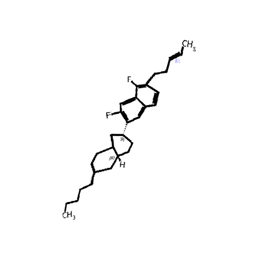 C/C=C/CCc1ccc2cc([C@@H]3CC[C@@H]4CC(CCCCC)CCC4C3)c(F)cc2c1F